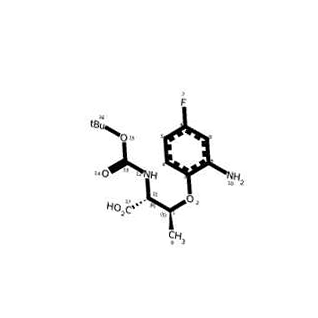 C[C@H](Oc1ccc(F)cc1N)[C@@H](NC(=O)OC(C)(C)C)C(=O)O